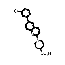 O=C(O)C1CCN(c2ccc3cc(-c4cccc(Cl)c4)ccc3n2)CC1